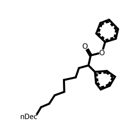 CCCCCCCCCCCCCCCCCC(C(=O)Oc1ccccc1)c1ccccc1